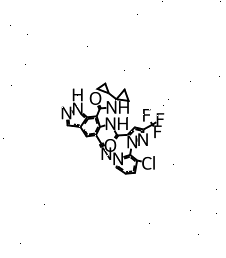 N#Cc1cc2cn[nH]c2c(C(=O)NC2(C3CC3)CC2)c1NC(=O)c1cc(C(F)(F)F)nn1-c1ncccc1Cl